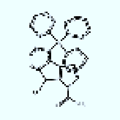 CC1C2=C(C=CC2C(N)=O)c2c1cccc2[Si](c1ccccc1)(c1ccccc1)c1ccccc1